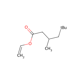 C=COC(=O)CC(C)CC(C)(C)C